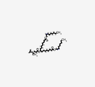 CCCCCC/C=C\COC(=O)CCCCCCCC(CCCCCCCC(=O)OC/C=C\CCCCCC)OC(=O)CCN(C)N1CC1